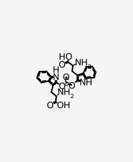 N[C@@H](Cc1c(OS(=O)Oc2[nH]c3ccccc3c2C[C@H](N)C(=O)O)[nH]c2ccccc12)C(=O)O